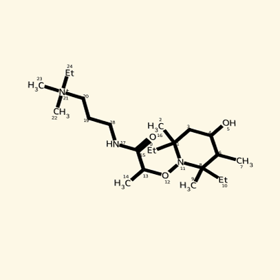 CCC1(C)CC(O)C(C)C(C)(CC)N1OC(C)C(=O)NCCC[N+](C)(C)CC